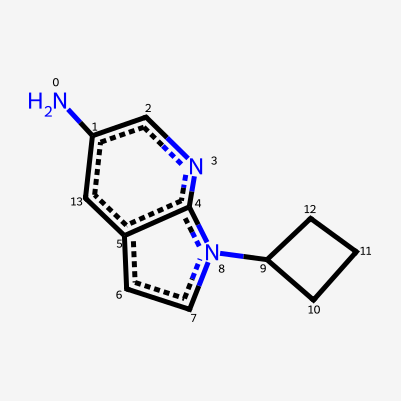 Nc1cnc2c(ccn2C2CCC2)c1